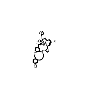 C=CC[C@@H](C)[C@H](C[C@@H]1CCO1)S(=O)(=O)NC(=O)c1ccc2c(c1)N(C[C@@H]1CC[C@H]1[C@@H](O)/C=C/CCC)CCCCc1cc(Cl)ccc1CO2